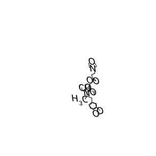 CCN(C(=O)OCOC(=O)CCN1CCOCC1)C(C)Cc1ccc2c(c1)OCO2